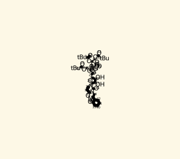 CC(C)(C)C(=O)OCOP(=O)(OCOC(=O)C(C)(C)C)OP(=O)(OCOC(=O)C(C)(C)C)OC[C@H]1O[C@@H](n2ccc(=O)n(Cc3noc4ccccc34)c2=O)C(O)C1O